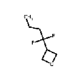 CCCC(F)(F)C1COC1